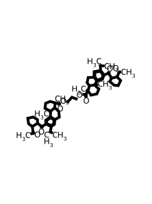 CC(=O)C1CCCCC1C(=O)c1cc2c(cc1C(C)C)CCC1C(C)(C(=O)OCCCOC(=O)C3(C)CCCC4(C)c5cc(C(=O)C6CCCCC6C(C)=O)c(C(C)C)cc5CCC34)CCCC21C